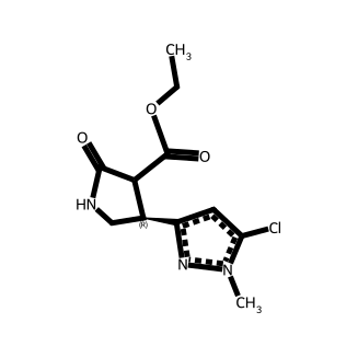 CCOC(=O)C1C(=O)NC[C@@H]1c1cc(Cl)n(C)n1